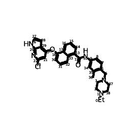 CCN1CCN(Cc2ccc(NC(=O)c3cccc4c(Oc5cc(Cl)nc6[nH]ccc56)cccc34)cc2C)CC1